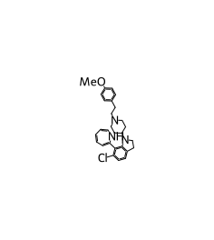 COc1ccc(CCN2CCC(N3CCc4ccc(Cl)c(C5=CC=CC=CN5)c43)CC2)cc1